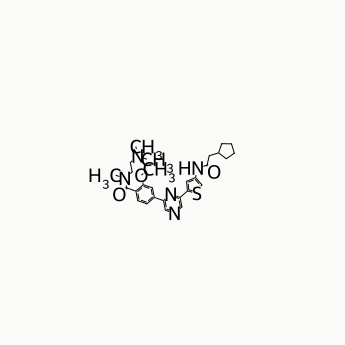 COc1cc(-c2cncc(-c3cc(NC(=O)CC4CCCC4)cs3)n2)ccc1C(=O)N(C)CCN(C)C